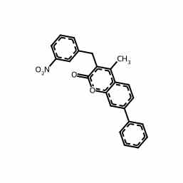 Cc1c(Cc2cccc([N+](=O)[O-])c2)c(=O)oc2cc(-c3ccccc3)ccc12